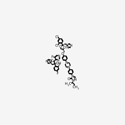 CCC(C)n1ncn(-c2ccc(N3CCN(c4ccc(OC[C@H]5CO[C@](Cn6cncn6)(c6ccc(Cl)cc6Cl)O5)cc4)CC3)cc2)c1=O.C[C@@H](c1ncncc1F)[C@](O)(Cn1cncn1)c1ccc(F)cc1F